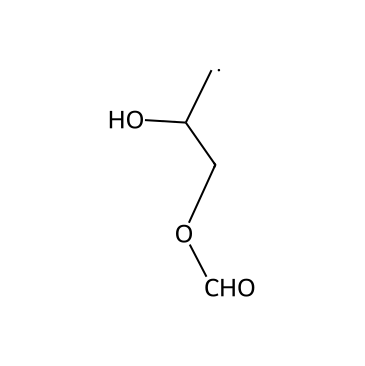 [CH2]C(O)COC=O